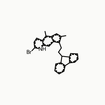 Cc1cc2c(C)c3ccc(Br)[nH]c3cc2c1CCC1c2ccccc2-c2ccccc21